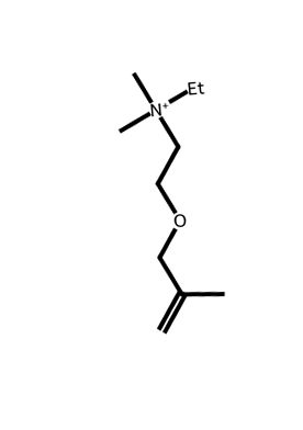 C=C(C)COCC[N+](C)(C)CC